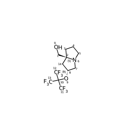 OC[C@@]12CCCN1C[C@H](OC(C(F)(F)F)(C(F)(F)F)C(F)(F)F)C2